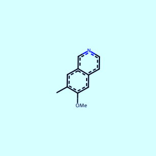 COc1cc2ccncc2cc1C